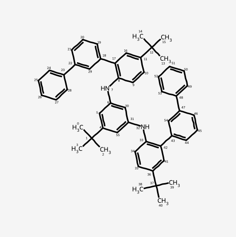 CC(C)(C)c1cc(Nc2ccc(C(C)(C)C)cc2-c2cccc(-c3ccccc3)c2)cc(Nc2ccc(C(C)(C)C)cc2-c2cccc(-c3ccccc3)c2)c1